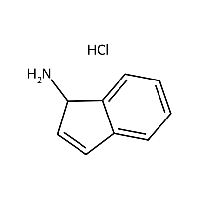 Cl.NC1C=Cc2ccccc21